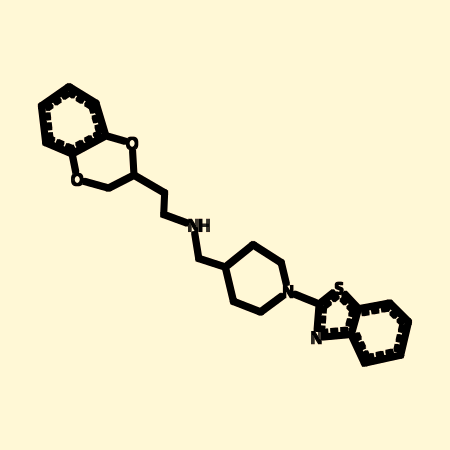 c1ccc2c(c1)OCC(CCNCC1CCN(c3nc4ccccc4s3)CC1)O2